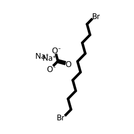 BrCCCCCCCCCCBr.O=C([O-])[O-].[Na+].[Na+]